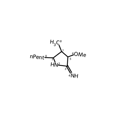 CCCCCC1NC(=N)C(OC)C1C